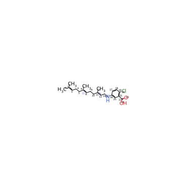 CC(C)=CCC/C(C)=C/CC/C(C)=C/CNc1ccc(Cl)c(C(=O)O)c1